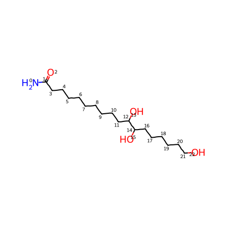 NC(=O)CCCCCCCCCC(O)C(O)CCCCCCO